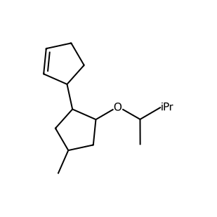 CC1CC(OC(C)C(C)C)C(C2C=CCC2)C1